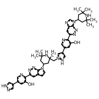 CC1(C)CC(n2cnc3cc(-c4ncc(-c5c[nH][n+](CC6(C)CC(n7ccc8cc(-c9ncc(-c%10cn[nH]c%10)cc9O)nnc87)CC(C)(C)N6)c5)cc4O)nnc32)CC(C)(C)N1